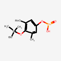 COc1cc(O[PH](=O)O)cc(C)c1O[Si](C)(C)C(C)(C)C